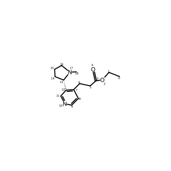 CCOC(=O)CCc1ccncc1[C@@H]1CCCN1C